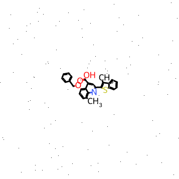 Cc1c(-c2cc(C(=O)O)c3c(OCc4ccccc4)ccc(C)c3n2)sc2ccccc12